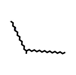 [CH2]CC/C=C/CCCCCCCCC(C)CCCCCCCCCCCCCC[CH2]